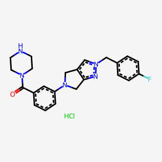 Cl.O=C(c1cccc(N2Cc3cn(Cc4ccc(F)cc4)nc3C2)c1)N1CCNCC1